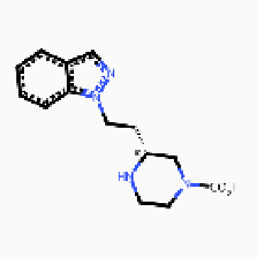 O=C(O)N1CCN[C@H](CCn2ncc3ccccc32)C1